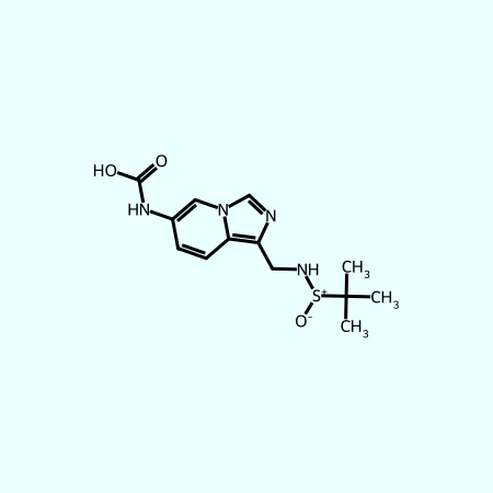 CC(C)(C)[S+]([O-])NCc1ncn2cc(NC(=O)O)ccc12